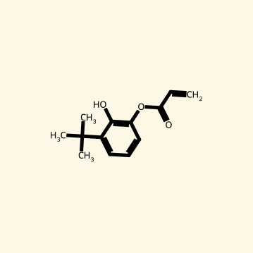 C=CC(=O)Oc1cccc(C(C)(C)C)c1O